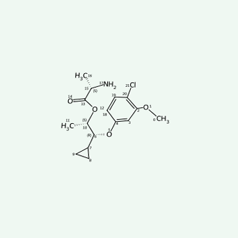 COc1cc(O[C@H](C2CC2)[C@H](C)OC(=O)[C@H](C)N)ccc1Cl